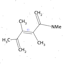 C=C(C)/C(C)=C(\C)C(=C)NC